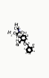 C=C(Nc1cccc(OCc2ccccc2F)c1C#N)/C(C)=C\C